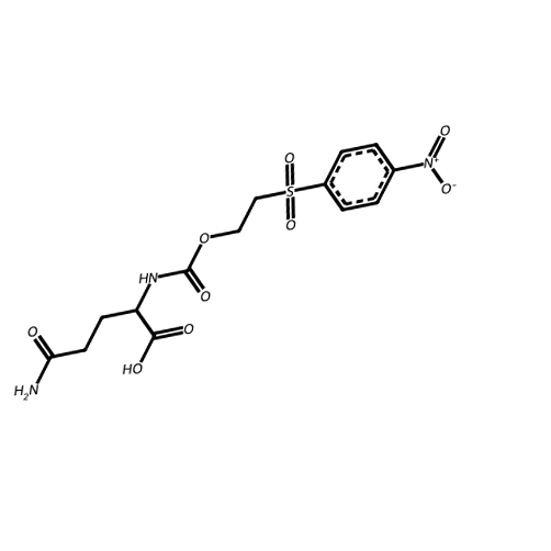 NC(=O)CCC(NC(=O)OCCS(=O)(=O)c1ccc([N+](=O)[O-])cc1)C(=O)O